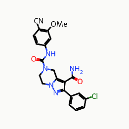 COc1cc(NC(=O)N2CCn3nc(-c4cccc(Cl)c4)c(C(N)=O)c3C2)ccc1C#N